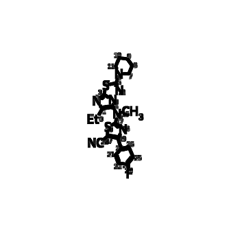 CCc1nc2sc(N3CCCCC3)nn2c1N(C)c1nc(-c2ccc(F)cc2)c(C#N)s1